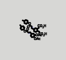 CC(=O)Oc1ccc(/C=C/C(=O)Oc2ccc(C)cc2)cc1OC(C)=O.Cc1ccc(OC(=O)/C=C/c2ccc(CC(=O)O)c(CC(=O)O)c2)cc1